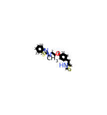 CN(CCOc1ccc(CC2CSCN2)cc1)c1nc2ccccc2s1